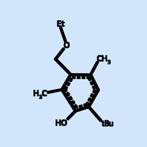 CCOCc1c(C)cc(C(C)(C)C)c(O)c1C